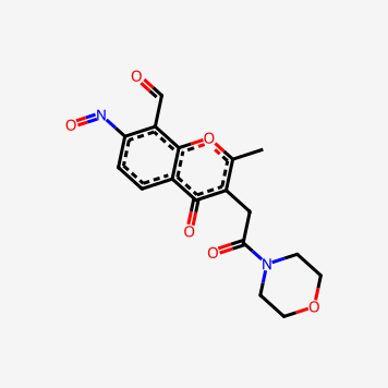 Cc1oc2c(C=O)c(N=O)ccc2c(=O)c1CC(=O)N1CCOCC1